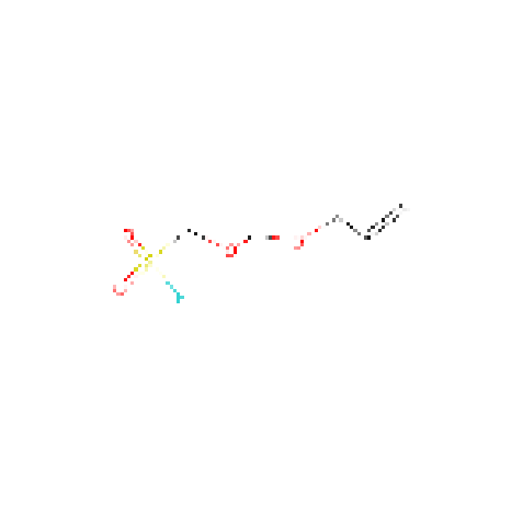 C=CCOCOCS(=O)(=O)F